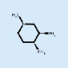 C[C@H]1CCN(C)C[C@H]1P